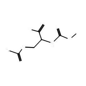 COC(=O)NC(CNC(N)=O)C(=O)O